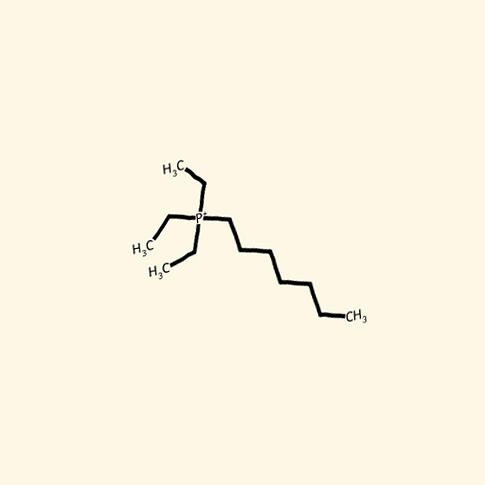 CCCCCCC[P+](CC)(CC)CC